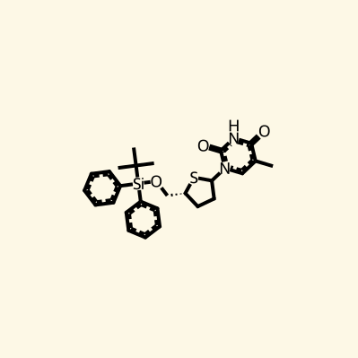 Cc1cn(C2CC[C@H](CO[Si](c3ccccc3)(c3ccccc3)C(C)(C)C)S2)c(=O)[nH]c1=O